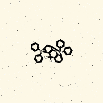 CC1(C)c2cccc3c2Oc2c(cc4c(c21)[PH]4(c1ccccc1)c1ccccc1)[PH]3(c1ccccc1)c1ccccc1